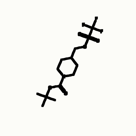 CC(C)(C)OC(=O)N1CCC(COS(=O)(=O)C(F)(F)F)CC1